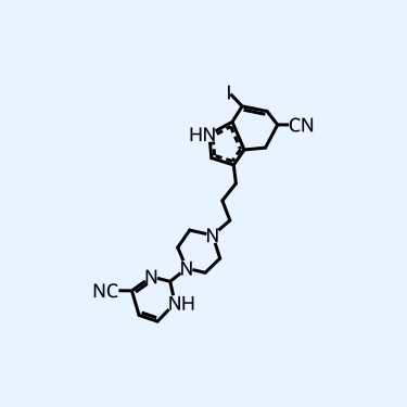 N#CC1=NC(N2CCN(CCCc3c[nH]c4c3CC(C#N)C=C4I)CC2)NC=C1